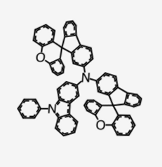 c1ccc(-n2c3ccccc3c3cc(N(c4ccc5c(c4)C4(c6ccccc6Oc6ccccc64)c4ccccc4-5)c4ccc5c(c4)C4(c6ccccc6Oc6ccccc64)c4ccccc4-5)ccc32)cc1